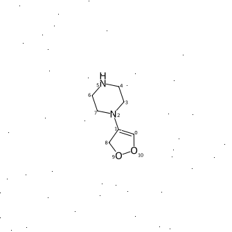 C1=C(N2CCNCC2)COO1